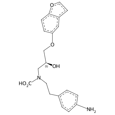 Nc1ccc(CCN(C[C@H](O)COc2ccc3occc3c2)C(=O)O)cc1